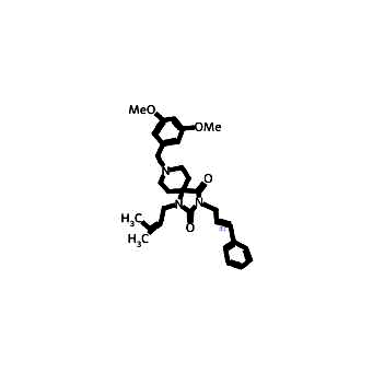 COc1cc(CN2CCC3(CC2)C(=O)N(C/C=C/c2ccccc2)C(=O)N3CC=C(C)C)cc(OC)c1